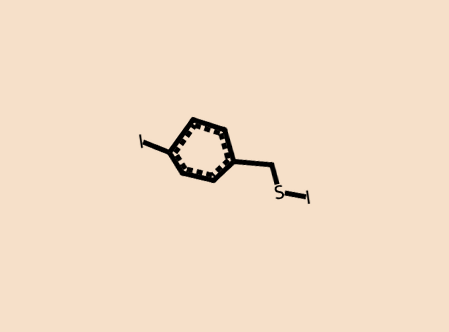 ISCc1ccc(I)cc1